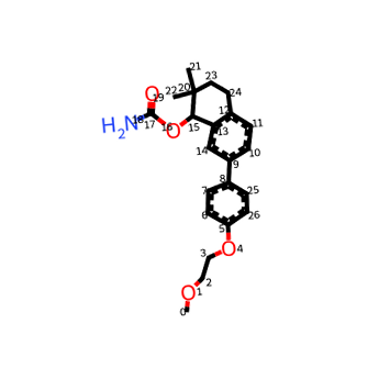 COCCOc1ccc(-c2ccc3c(c2)C(OC(N)=O)C(C)(C)CC3)cc1